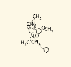 C=CCN1CCC2(c3cccc(OC)c3)CC(N(CC(C)C)C(=O)CCCCCc3ccccc3)CCC2(OC)C1